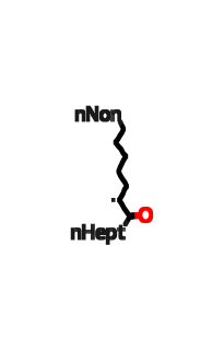 [CH2]CCCCCCCCCCCCC[CH]C(=O)CCCCCCC